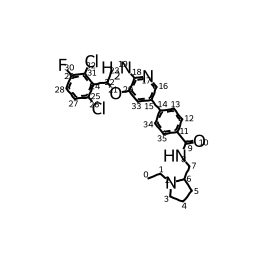 CCN1CCCC1CNC(=O)c1ccc(-c2cnc(N)c(OC(C)c3c(Cl)ccc(F)c3Cl)c2)cc1